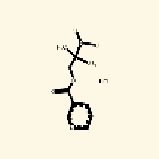 CC(C)(COC(=O)c1cccnc1)N(Cl)Cl.Cl